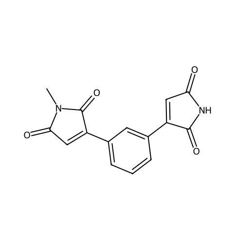 CN1C(=O)C=C(c2cccc(C3=CC(=O)NC3=O)c2)C1=O